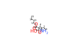 C=CC1(N)CC1(C(=O)O)C(=O)OCCCC